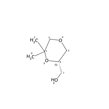 CC1(C)COC[C@H](CO)O1